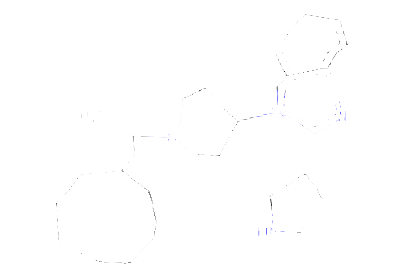 CC(C1CCCCCCC1)N1CCC(n2c([C@@H]3CCNC3)nc3ccccc32)CC1